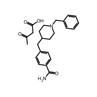 CC(=O)CC(=O)O.NC(=O)c1ccc(CC2CCN(Cc3ccccc3)CC2)cc1